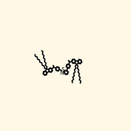 C=C(c1ccc(-c2nc3cccc(-c4ccc(C(=C)c5ccc6c(c5)C(CCCCCCCCCC)(CCCCCCCCCC)c5ccccc5-6)cc4)c3s2)cc1)c1ccc2c(c1)C(CCCCCCCCCC)(CCCCCCCCCC)c1ccccc1-2